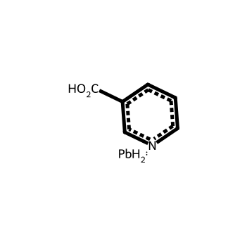 O=C(O)c1cccnc1.[PbH2]